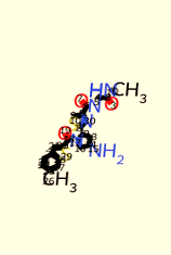 CNC(=O)CNC(=O)c1csc([C@@H]2C[C@@H](N)CN2C(=O)c2cc3ccc(C)cc3s2)n1